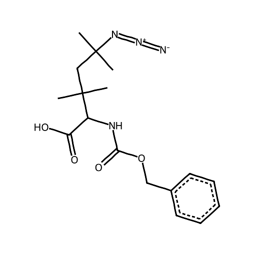 CC(C)(CC(C)(C)C(NC(=O)OCc1ccccc1)C(=O)O)N=[N+]=[N-]